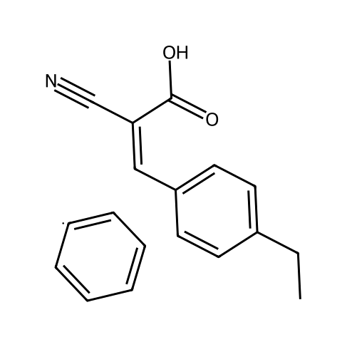 CCc1ccc(C=C(C#N)C(=O)O)cc1.[c]1ccccc1